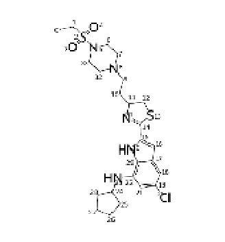 CCS(=O)(=O)N1CCN(CCC2CSC(c3cc4cc(Cl)cc(NC5CCCC5)c4[nH]3)=N2)CC1